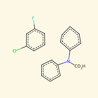 Fc1cccc(Cl)c1.O=C(O)N(c1ccccc1)c1ccccc1